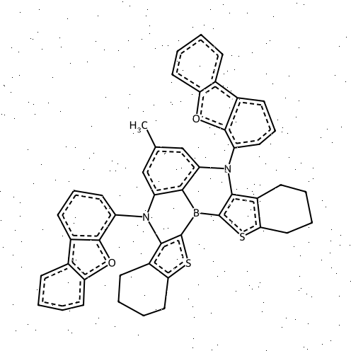 Cc1cc2c3c(c1)N(c1cccc4c1oc1ccccc14)c1c(sc4c1CCCC4)B3c1sc3c(c1N2c1cccc2c1oc1ccccc12)CCCC3